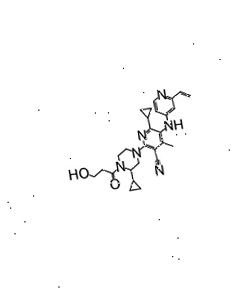 C=Cc1cc(Nc2c(C3CC3)nc(N3CCN(C(=O)CCO)C(C4CC4)C3)c(C#N)c2C)ccn1